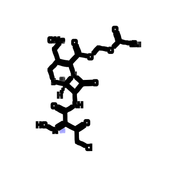 COCC1=C(C(=O)OCOC(=O)C(C)(C)C)N2C(=O)C(NC(=O)/C(=N\O)C(=O)CCl)[C@H]2SC1